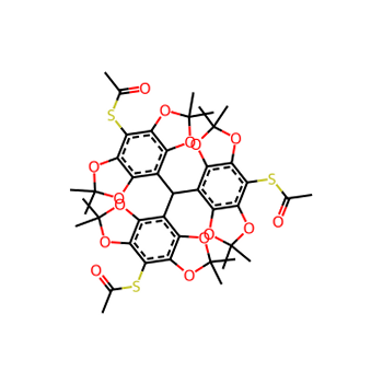 CC(=O)Sc1c2c(c(C(c3c4c(c(SC(C)=O)c5c3OC(C)(C)O5)OC(C)(C)O4)c3c4c(c(SC(C)=O)c5c3OC(C)(C)O5)OC(C)(C)O4)c3c1OC(C)(C)O3)OC(C)(C)O2